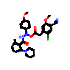 COc1ccc(N(NC(=O)c2c(C)cccc2N2CCCCC2)OC(=O)Cc2cc(OC)c(C#N)cc2Br)cc1